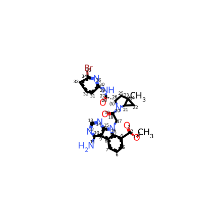 COC(=O)c1cccc2c3c(N)ncnc3n(CC(=O)N3C4C[C@]4(C)C[C@H]3C(=O)Nc3cccc(Br)n3)c12